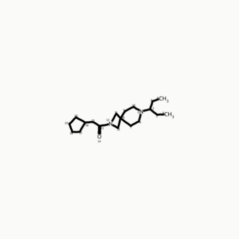 CCC(CC)N1CCC2(CC1)CN(C(=O)CC1CCCC1)C2